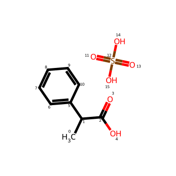 CC(C(=O)O)c1ccccc1.O=S(=O)(O)O